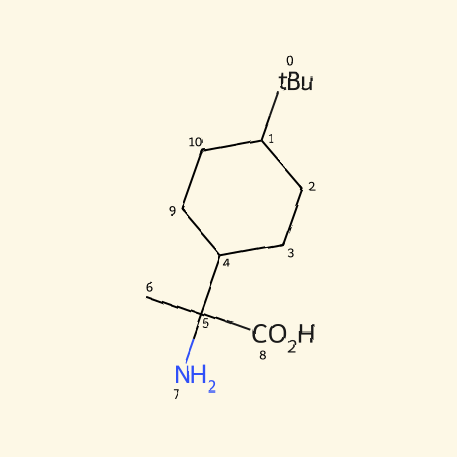 CC(C)(C)C1CCC(C(C)(N)C(=O)O)CC1